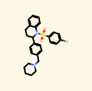 O=S(=O)(c1ccc(Cl)cc1)N1c2ccccc2CCC1c1ccc(CN2CCCCC2)cc1